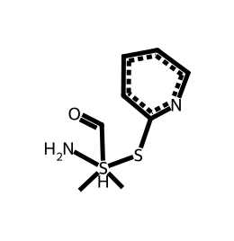 C[SH](C)(N)(C=O)Sc1ccccn1